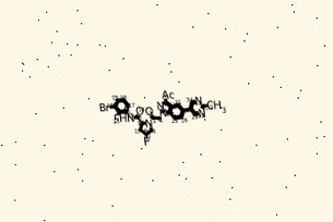 CC(=O)c1nn(CC(=O)N2C[C@H](F)C[C@H]2C(=O)Nc2cccc(Br)c2F)c2ccc(-c3cnc(C)nc3)cc12